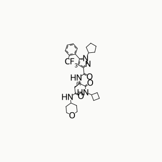 O=C(C[C@@H](NC(=O)c1cc(-c2ccccc2C(F)(F)F)n(C2CCCC2)n1)C(=O)NC1CCC1)NC1CCOCC1